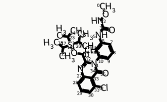 CONC(=O)Nc1cccc(-n2c([C@H](C)O[Si](C(C)C)(C(C)C)C(C)C)nc3cccc(Cl)c3c2=O)c1